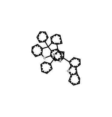 c1ccc(-c2nc(-c3ccccc3C3(c4ccccc4)c4ccccc4Oc4ccccc43)cc(-c3cccc4c3oc3ccccc34)n2)cc1